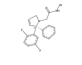 CC(C)NC(=O)CN1CC=C[C@]1(c1ccccc1)c1cc(F)ccc1F